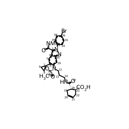 CNC(=O)c1c2cc(C3CC3)c(N(CCCNC(=O)[C@H]3CC=CC[C@H]3C(=O)O)S(C)(=O)=O)cc2nn1-c1ccc(Br)cc1